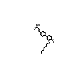 CCCCCCOc1cc(-c2ccc(/C=C/C(=O)O)cc2)ccc1OC